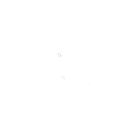 Cc1ncc2ccoc2n1